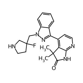 CC1(C)C(=O)Nc2nccc(-c3nn(CC4(F)CCNC4)c4ccccc34)c21